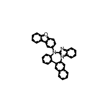 c1ccc2c(c1)-c1cc3ccccc3cc1-n1c(nc3ccccc31)N2c1ccc2oc3ccccc3c2c1